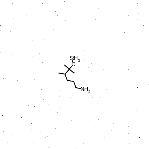 CC(CCCN)C(C)(C)O[SiH3]